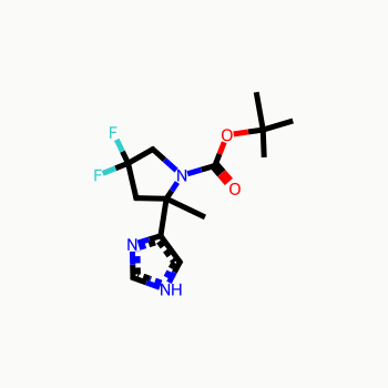 CC(C)(C)OC(=O)N1CC(F)(F)CC1(C)c1c[nH]cn1